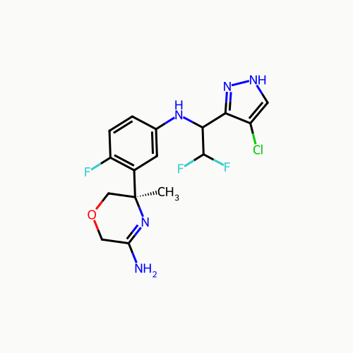 C[C@@]1(c2cc(NC(c3n[nH]cc3Cl)C(F)F)ccc2F)COCC(N)=N1